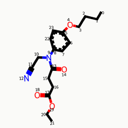 CCCCOc1ccc(N(CC#N)C(=O)CCC(=O)OCC)cc1